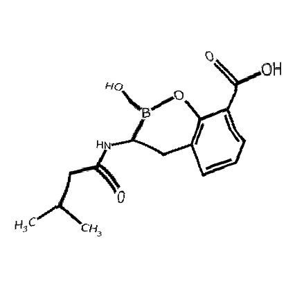 CC(C)CC(=O)NC1Cc2cccc(C(=O)O)c2OB1O